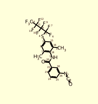 Cc1cc(SC(F)(F)C(F)(F)C(F)(F)C(F)(F)F)cc(C)c1NC(=O)c1cccc(N=C=O)c1